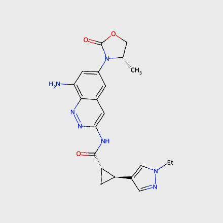 CCn1cc([C@H]2C[C@@H]2C(=O)Nc2cc3cc(N4C(=O)OC[C@@H]4C)cc(N)c3nn2)cn1